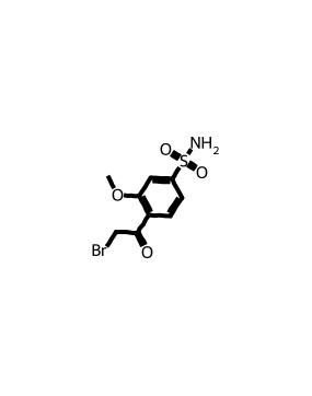 COc1cc(S(N)(=O)=O)ccc1C(=O)CBr